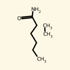 CC.CCCCCC(N)=O